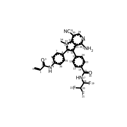 C=CC(=O)Nc1ccc(-c2c(-c3ccc(C(=O)NC(F)C(F)F)cc3)c3c(N)ncc(C#N)c3n2C)cc1